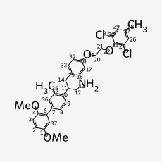 COc1ccc(OC)c(-c2ccc(C(CN)Cc3ccc(OCCOc4c(Cl)cc(C)cc4Cl)cc3)c(C)c2)c1